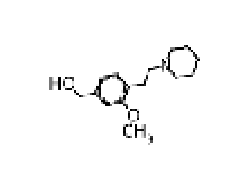 COc1cc(CO)ccc1CCN1CCCCC1